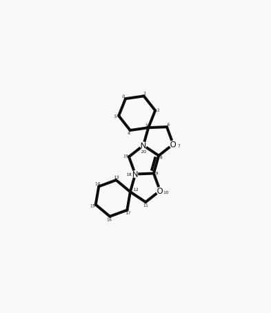 C1CCC2(CC1)COC1=C3OCC4(CCCCC4)N3CN12